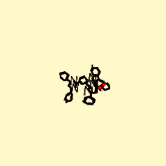 Cc1ccc2c3ccc(C)cc3n(-c3ccc(-c4nc(-c5ccccc5)cc(-c5ccccc5)n4)cc3-c3nc(-c4ccccc4)cc(-c4ccccc4)n3)c2c1